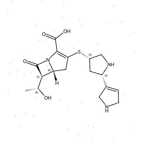 C[C@@H](O)[C@H]1C(=O)N2C(C(=O)O)=C(S[C@@H]3CN[C@H](C4=CCNC4)C3)C[C@H]12